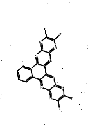 Fc1nc2nc3c4ccccc4c4nc5nc(F)c(F)nc5nc4c3nc2nc1F